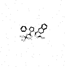 CC(C)(C)OC(=O)N1[C@@H](C(=O)N2Cc3ccccc3C[C@@H]2C(=O)O)CC[C@H]1c1ccccc1